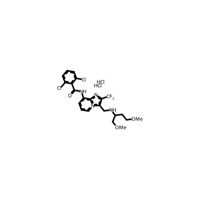 COCCC(COC)NCc1c(C(F)(F)F)nc2c(NC(=O)c3c(Cl)cccc3Cl)cccn12.Cl.Cl